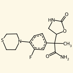 CC(C(N)=O)(c1ccc(N2CCSCC2)c(F)c1)C1CNC(=O)O1